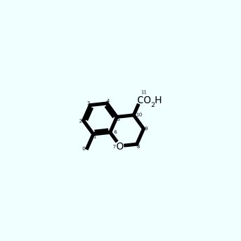 Cc1cccc2c1OCCC2C(=O)O